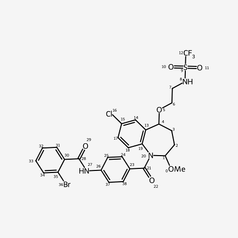 COC1CCC(OCCNS(=O)(=O)C(F)(F)F)c2cc(Cl)ccc2N1C(=O)c1ccc(NC(=O)c2ccccc2Br)cc1